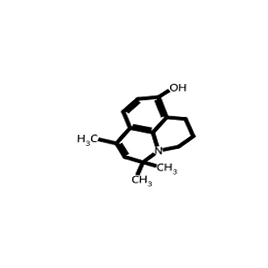 CC1=CC(C)(C)N2CCCc3c(O)ccc1c32